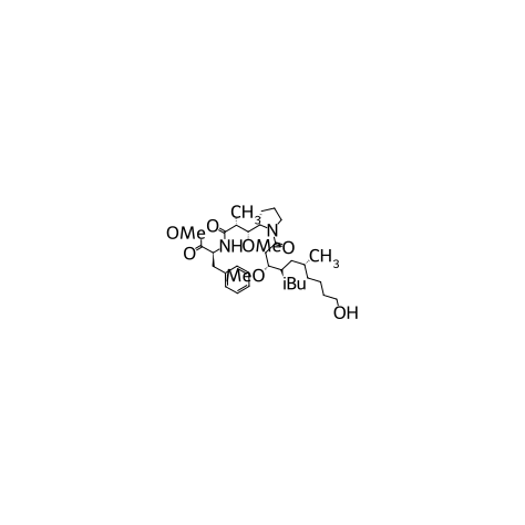 CC[C@H](C)C(C[C@H](C)CCCCO)[C@@H](CC(=O)N1CCC[C@H]1[C@H](OC)[C@@H](C)C(=O)N[C@@H](Cc1ccccc1)C(=O)OC)OC